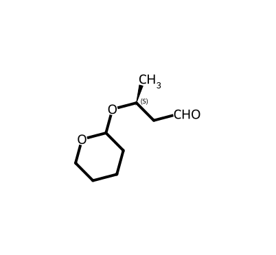 C[C@@H](CC=O)OC1CCCCO1